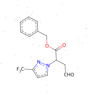 O=CCC(C(=O)OCc1ccccc1)n1ccc(C(F)(F)F)n1